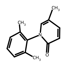 Cc1ccc(=O)n(-c2c(C)cccc2C)c1